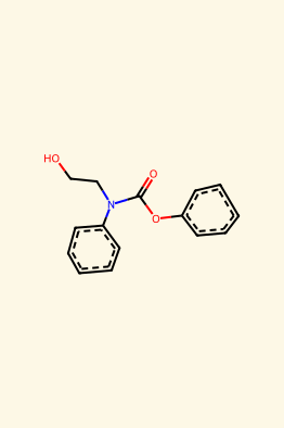 O=C(Oc1ccccc1)N(CCO)c1ccccc1